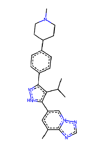 Cc1cc(-c2[nH]nc(-c3ccc(C4CCN(C)CC4)cc3)c2C(C)C)cn2ncnc12